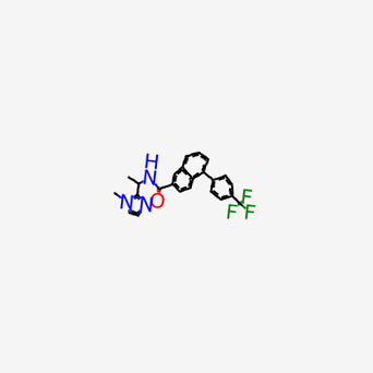 CC(NC(=O)c1ccc2c(-c3ccc(C(F)(F)F)cc3)cccc2c1)c1nccn1C